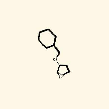 C1CCC(CO[C@@H]2CCOC2)CC1